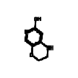 Oc1cc2c(cn1)OCCN2